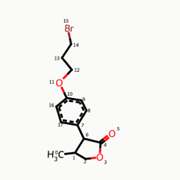 CC1COC(=O)C1c1ccc(OCCCBr)cc1